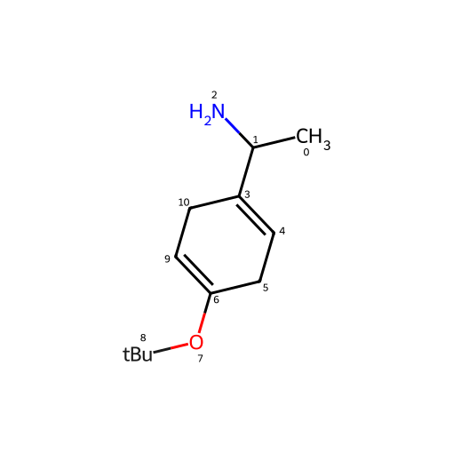 CC(N)C1=CCC(OC(C)(C)C)=CC1